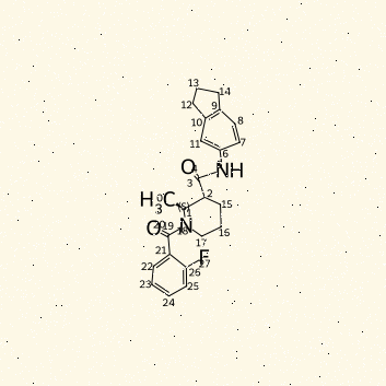 C[C@H]1C(C(=O)Nc2ccc3c(c2)CCC3)CCCN1C(=O)c1ccccc1F